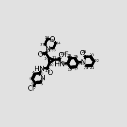 O=C(Nc1ccc(Cl)cn1)C1C(C(=O)Nc2ccc(-n3ccccc3=O)cc2F)C1C(=O)N1CCOCC1